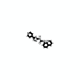 O=C(Nc1nnc(-c2ccncc2)s1)Nc1cccc2cccnc12